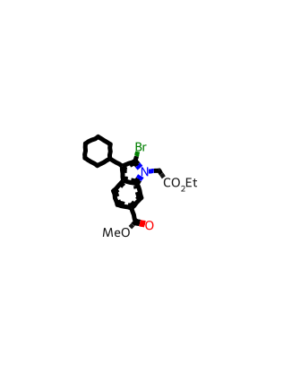 CCOC(=O)Cn1c(Br)c(C2CCCCC2)c2ccc(C(=O)OC)cc21